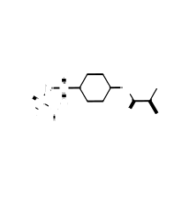 C=C(C)C(=O)OC1CCC(S(=O)(=O)NS(=O)(=O)OCC)CC1